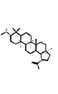 C=C(C)[C@@H]1CC[C@]2(C)CC[C@]3(C)C(CCC4[C@@]5(C)CC[C@@H](NC)C(C)(C)C5CC[C@]43C)C12